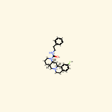 O=C(NCCc1ccccc1)N1CCC[C@H]2CN3CCc4ccc(F)cc4[C@H]3C[C@H]21